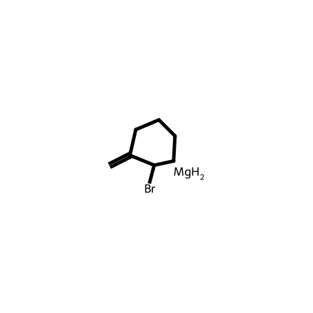 C=C1CCCCC1Br.[MgH2]